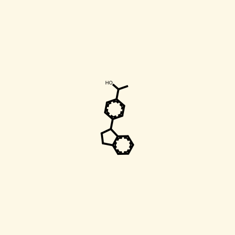 CC(O)c1ccc(C2CCc3ccccc32)cc1